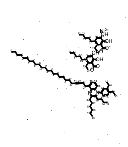 CCCCCCCCCCCCCCCCCCCCCC#CCCc1ccccc1N=C(CCCCCC)C(CCCC)=Nc1ccc(CC)c(CC)c1.CCCCCc1cc(O)c(O)c(C(=O)[O-])c1CC.CCCCCc1cc(O)c(O)c(C(=O)[O-])c1CC.[Ni+2]